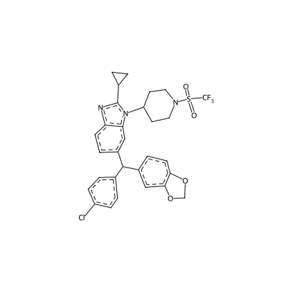 O=S(=O)(N1CCC(n2c(C3CC3)nc3ccc(C(c4ccc(Cl)cc4)c4ccc5c(c4)OCO5)cc32)CC1)C(F)(F)F